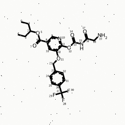 CCC(CC)OC(=O)c1cnc(OC(=O)NC(=O)CN)c(OCc2ccc(C(F)(F)F)cc2)c1